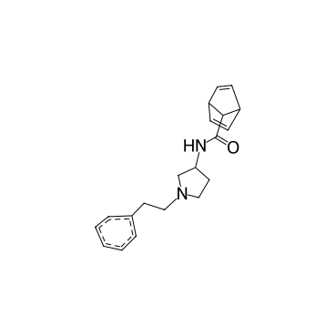 O=C(NC1CCN(CCc2ccccc2)C1)C1C2C=CC1C=C2